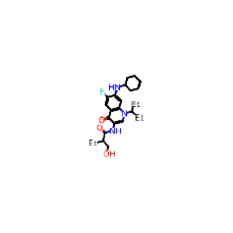 CCC(CO)C(=O)Nc1cn(C(CC)CC)c2cc(NC3CCCCC3)c(F)cc2c1=O